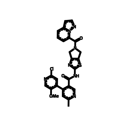 COc1cnc(Cl)cc1-c1cc(C)ncc1C(=O)Nc1nc2c(s1)CN(C(=O)c1cccc3ccnn13)C2